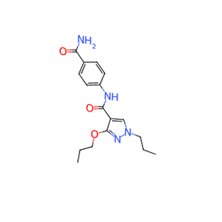 CCCOc1nn(CCC)cc1C(=O)Nc1ccc(C(N)=O)cc1